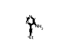 CCC#Cc1ncncc1N